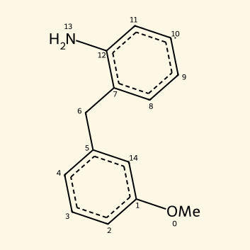 COc1cccc(Cc2cc[c]cc2N)c1